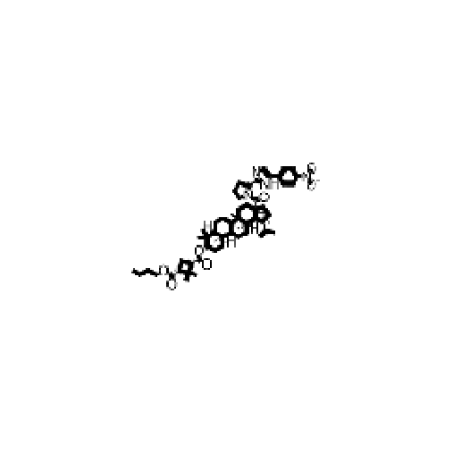 C=C(C)[C@@H]1CC[C@]2(C(=O)N3CCC[C@H]3c3ncc(-c4ccc([N+](=O)[O-])cc4)[nH]3)CC[C@]3(C)[C@H](CC[C@@H]4[C@@]5(C)CC[C@H](OC(=O)[C@H]6C[C@@H](C(=O)OCCCC)C6(C)C)C(C)(C)[C@@H]5CC[C@]43C)[C@@H]12